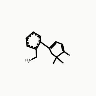 CC1(C)CC(c2ccccc2CN)=CC=C1F